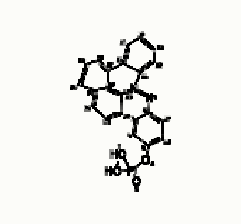 O=P(O)(O)Oc1ccc(N=Nc2ccccc2-c2cccc3ccccc23)cc1